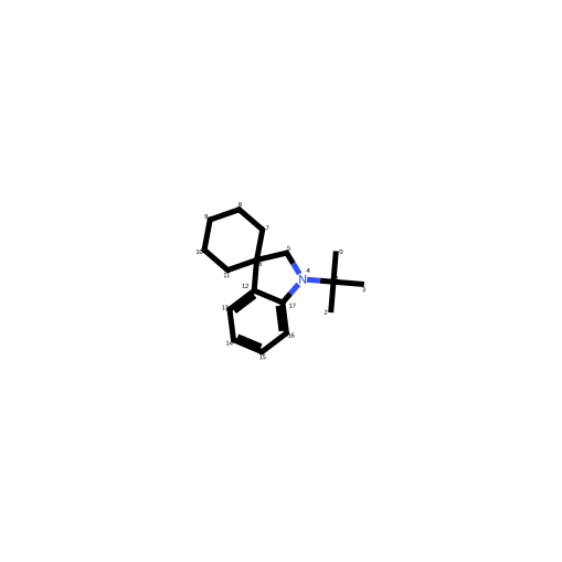 CC(C)(C)N1CC2(CCCCC2)c2ccccc21